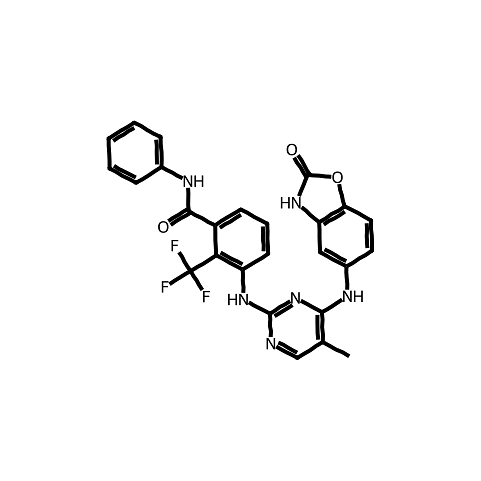 Cc1cnc(Nc2cccc(C(=O)Nc3ccccc3)c2C(F)(F)F)nc1Nc1ccc2oc(=O)[nH]c2c1